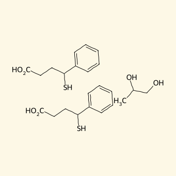 CC(O)CO.O=C(O)CCC(S)c1ccccc1.O=C(O)CCC(S)c1ccccc1